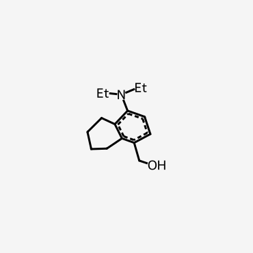 CCN(CC)c1ccc(CO)c2c1CCCC2